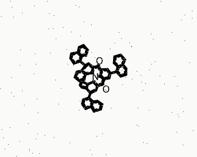 O=c1c2c(n3c4c1cc(-c1cccc5ccccc15)cc4c(=O)c1cc(-c4cccc5ccccc45)c4ccccc4c13)C1CC=CC=C1C(c1cccc3ccccc13)=C2